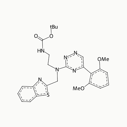 COc1cccc(OC)c1-c1cnnc(N(CCNC(=O)OC(C)(C)C)Cc2nc3ccccc3s2)n1